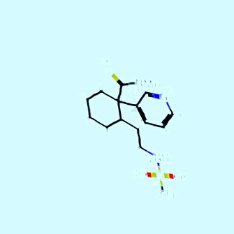 CCCS(=O)(=O)NCCC1CCCCC1(C(=S)NC)c1cccnc1